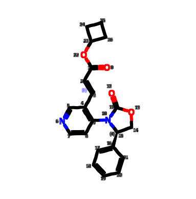 O=C(/[C]=C/c1cnccc1N1C(=O)OC[C@H]1c1ccccc1)OC1CCC1